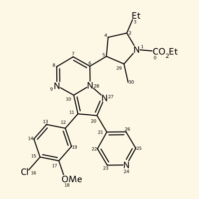 CCOC(=O)N1C(CC)CC(c2ccnc3c(-c4ccc(Cl)c(OC)c4)c(-c4ccncc4)nn23)C1C